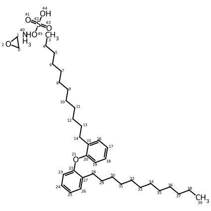 C1CO1.CCCCCCCCCCCCc1ccccc1Oc1ccccc1CCCCCCCCCCCC.N.O=S(=O)(O)O